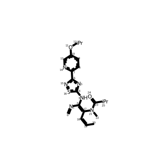 C=N/C(Nc1nc(-c2ccc(OC(C)C)cn2)ns1)=C(\C=C/C)N(C)C(=O)C(C)C